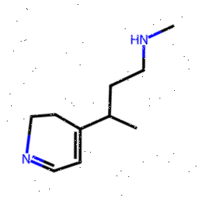 CNCCC(C)C1=CC=NCC1